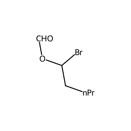 CCCCC(Br)OC=O